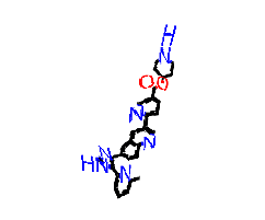 Cc1cccc(-c2[nH]cnc2-c2ccc3ncc(-c4ccc(C(=O)OC5CCNCC5)cn4)cc3c2)n1